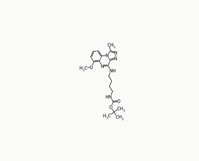 COc1cccc2c1nc(NCCCCNC(=O)OC(C)(C)C)c1nnc(C)n12